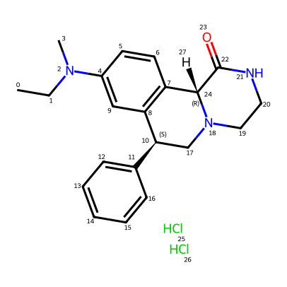 CCN(C)c1ccc2c(c1)[C@H](c1ccccc1)CN1CCNC(=O)[C@@H]21.Cl.Cl